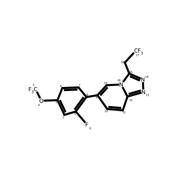 Fc1cc(OC(F)(F)F)ccc1-c1ccc2nnc(CC(F)(F)F)n2c1